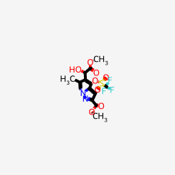 COC(=O)c1cc2c(OS(=O)(=O)C(F)(F)F)c(C(O)C(=O)OC)c(C)cn2n1